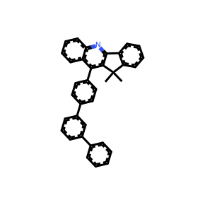 CC1(C)c2ccccc2-c2nc3ccccc3c(-c3ccc(-c4cccc(-c5ccccc5)c4)cc3)c21